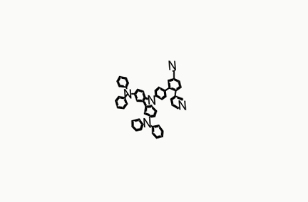 N#Cc1ccc(-c2cccnc2)c(-c2ccc(-n3c4ccc(N(c5ccccc5)c5ccccc5)cc4c4cc(N(c5ccccc5)c5ccccc5)ccc43)cc2)c1